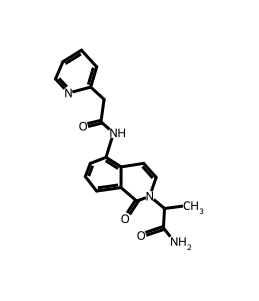 CC(C(N)=O)n1ccc2c(NC(=O)Cc3ccccn3)cccc2c1=O